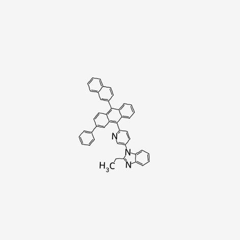 CCc1nc2ccccc2n1-c1ccc(-c2c3ccccc3c(-c3ccc4ccccc4c3)c3ccc(-c4ccccc4)cc23)nc1